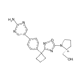 Nc1ncc(-c2ccc(C3(c4noc(N5CCC[C@@H]5CO)n4)CCC3)cc2)cn1